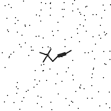 CC#CC[Si](C)(C)C